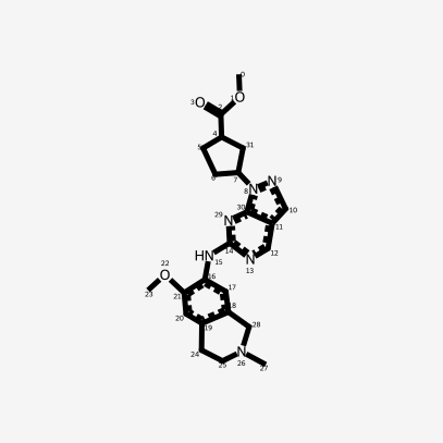 COC(=O)C1CCC(n2ncc3cnc(Nc4cc5c(cc4OC)CCN(C)C5)nc32)C1